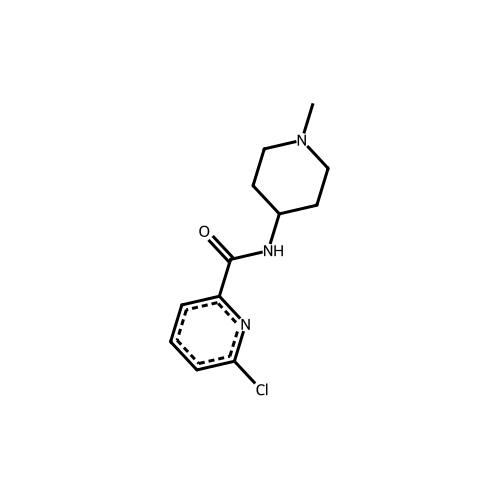 CN1CCC(NC(=O)c2cccc(Cl)n2)CC1